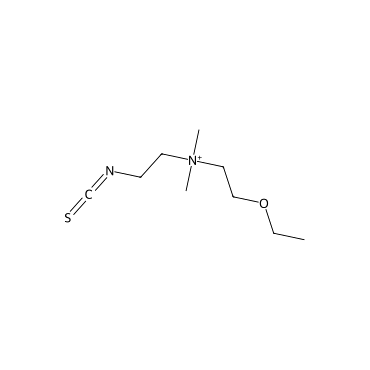 CCOCC[N+](C)(C)CCN=C=S